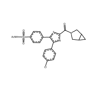 CC(=O)NS(=O)(=O)c1ccc(-c2sc(C(=O)N3CC4CC4C3)nc2-c2ccc(Cl)cc2)cc1